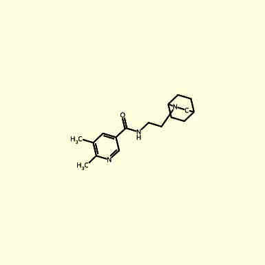 Cc1cc(C(=O)NCCN2CC3CCC2CC3)cnc1C